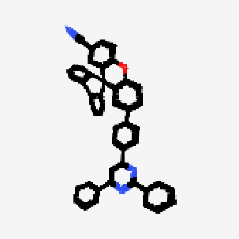 N#Cc1ccc2c(c1)C1(c3cc(-c4ccc(-c5cc(-c6ccccc6)nc(-c6ccccc6)n5)cc4)ccc3O2)c2ccccc2-c2ccccc21